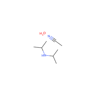 CC#N.CC(C)NC(C)C.O